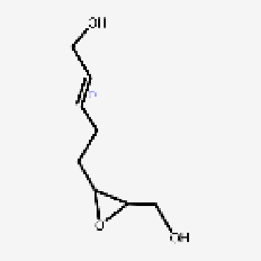 OC/C=C/CCC1OC1CO